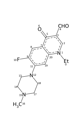 CCn1cc(C=O)c(=O)c2cc(F)c(N3CCN(C)CC3)cc21